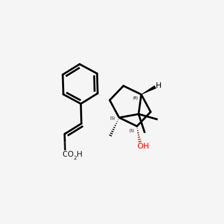 CC1(C)[C@@H]2CC[C@]1(C)[C@@H](O)C2.O=C(O)C=Cc1ccccc1